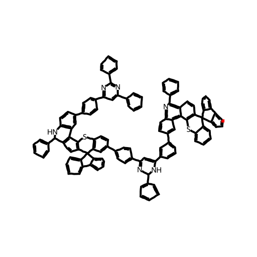 C1=C(c2cccc(-c3ccc4nc(-c5ccccc5)c5ccc6c(c5c4c3)Sc3ccccc3C63c4ccccc4-c4ccccc43)c2)NC(c2ccccc2)N=C1c1ccc(-c2ccc3c(c2)C2(c4ccccc4-c4ccccc42)c2ccc4c(c2S3)-c2cc(-c3ccc(-c5cc(-c6ccccc6)nc(-c6ccccc6)n5)cc3)ccc2NC4c2ccccc2)cc1